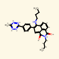 CCCCNc1c(-c2ccc(-c3nnc(C)nn3)cc2)cc2c3c(cccc13)C(=O)N(CCCC)C2=O